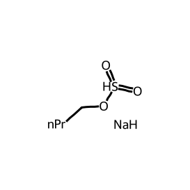 CCCCO[SH](=O)=O.[NaH]